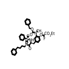 CCOC(=O)C(F)Oc1ccc(C[C@H](NS(=O)(=O)c2ccccc2)C(=O)NCCCCc2ccccc2)cc1N(C)C(=O)OCc1ccccc1